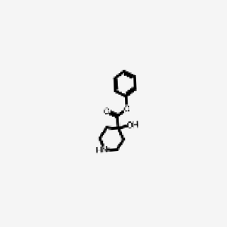 O=C(Oc1ccccc1)C1(O)CCNCC1